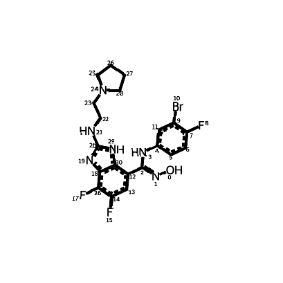 O/N=C(\Nc1ccc(F)c(Br)c1)c1cc(F)c(F)c2nc(NCCN3CCCC3)[nH]c12